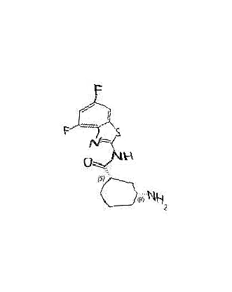 N[C@@H]1CCC[C@H](C(=O)Nc2nc3c(F)cc(F)cc3s2)C1